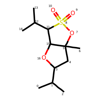 CC(C)C1CC2(C)OS(=O)(=O)C(C(C)C)C2O1